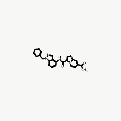 CC(=O)c1ccn2c(C(=O)Nc3cccc4c3cnn4Cc3ccccc3)cnc2c1